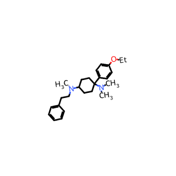 CCOc1ccc(C2(N(C)C)CCC(N(C)CCc3ccccc3)CC2)cc1